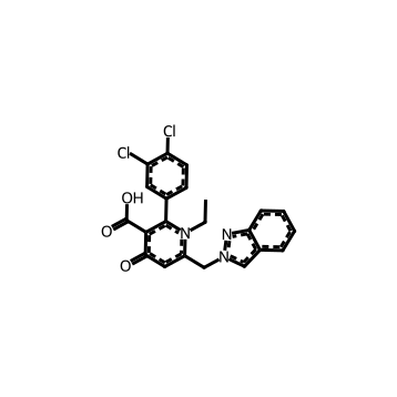 CCn1c(Cn2cc3ccccc3n2)cc(=O)c(C(=O)O)c1-c1ccc(Cl)c(Cl)c1